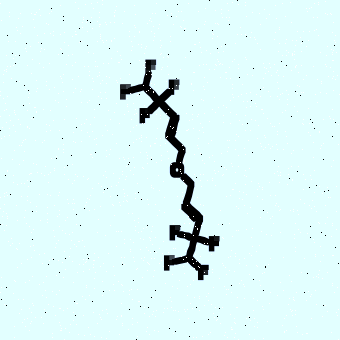 FC(F)C(F)(F)C=CCOCC=CC(F)(F)C(F)F